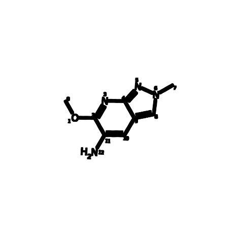 COc1nc2nn(C)cc2cc1N